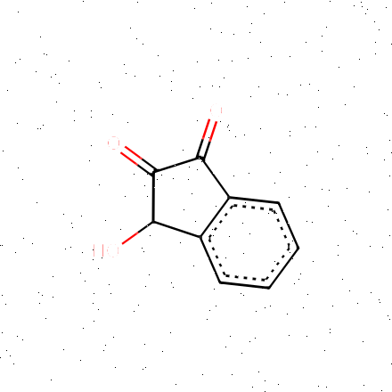 O=C1C(=O)C(O)c2ccccc21